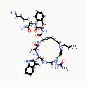 C=CCN1C#CCN(NC(C)=O)C(=O)N[C@H](Cc2c[nH]c3ccccc23)C(=O)N[C@@H](C)C(=O)N[C@H](C(=O)N[C@H](Cc2ccccc2)C(=O)N[C@@H](CCCCN)C(N)=O)CCCC1